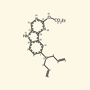 C=CCN(CC=C)c1ccc2[nH]c3cnc(OC(=O)OCC)nc3c2c1